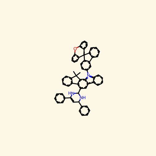 CC1(C)c2ccccc2-c2c(C3NC(c4ccccc4)=CC(c4ccccc4)N3)cc3c4ccccc4n(-c4ccc5c(c4)-c4ccccc4C54c5ccccc5Oc5ccccc54)c3c21